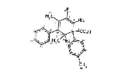 CCC1=C(CC)C(C(=O)O)(c2ccc(C)cc2)C(C)(CC)C(c2ccccc2)=C1C